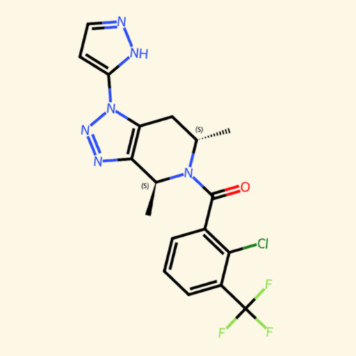 C[C@H]1Cc2c(nnn2-c2ccn[nH]2)[C@H](C)N1C(=O)c1cccc(C(F)(F)F)c1Cl